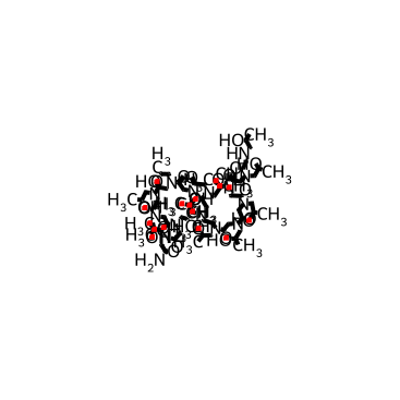 CC(C)CN(CC(=O)N(CC(=O)N(CC(=O)N(CC(=O)N(CC(=O)N(CC(=O)N(CC(=O)N(CC(=O)N(CC(=O)N(CC(=O)N(CC(=O)N(CC(N)=O)CC(C)O)CC(C)O)CC(C)C)CC(C)O)CC(C)O)CC(C)C)CC(C)O)CC(C)O)CC(C)C)CC(C)O)CC(C)O)C(=O)CN(CC(C)O)C(=O)CNCC(C)O